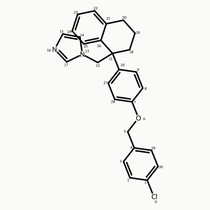 Clc1ccc(COc2ccc(C3(Cn4ccnc4)CCCc4ccccc43)cc2)cc1